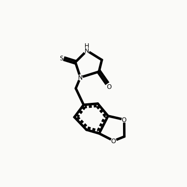 O=C1CNC(=S)N1Cc1ccc2c(c1)OCO2